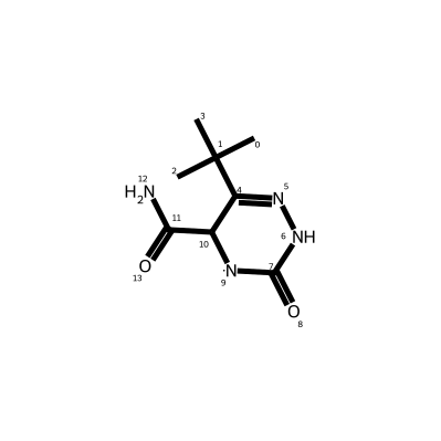 CC(C)(C)C1=NNC(=O)[N]C1C(N)=O